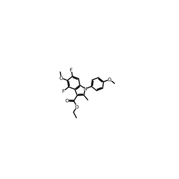 CCOC(=O)c1c(C)n(-c2ccc(OC)cc2)c2cc(F)c(OC)c(F)c12